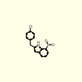 O=[N+]([O-])c1cccc2cc(Cc3ccc(Cl)cc3)[nH]c12